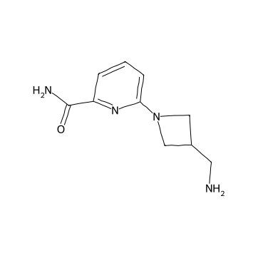 NCC1CN(c2cccc(C(N)=O)n2)C1